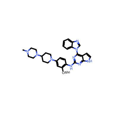 COc1cc(N2CCC(N3CCN(C)CC3)CC2)ccc1Nc1nc(-n2cnc3ccccc32)c2cc[nH]c2n1